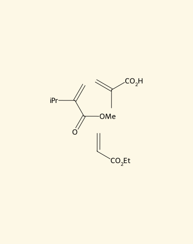 C=C(C(=O)OC)C(C)C.C=C(C)C(=O)O.C=CC(=O)OCC